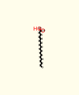 CCCCCCCCCCCCCCC=CCCC(=O)O